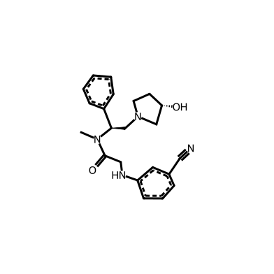 CN(C(=O)CNc1cccc(C#N)c1)[C@H](CN1CC[C@H](O)C1)c1ccccc1